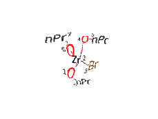 CCC[O][Zr]([Br])([O]CCC)[O]CCC